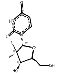 C[C@@]1(F)[C@H](O)C(CO)O[C@H]1n1ccc(=O)[nH]c1=O